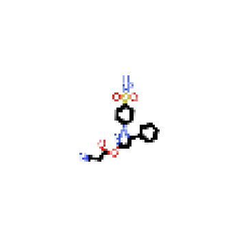 N#CCC(=O)Oc1cc(-c2ccccc2)n(-c2ccc(S(N)(=O)=O)cc2)n1